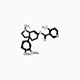 COc1ccc(C23CCC(OC(=O)c4cnccc4C)=CC2N(C)CC3)cc1OC